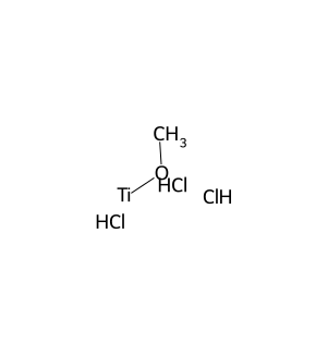 C[O][Ti].Cl.Cl.Cl